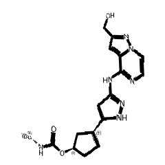 CC[C@@H](C)NC(=O)O[C@@H]1CC[C@H](C2CC(Nc3nccn4nc(CO)cc34)=NN2)C1